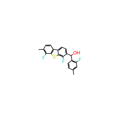 Cc1ccc(C(O)c2ccc3c(sc4c(F)c(C)ccc43)c2F)c(F)c1